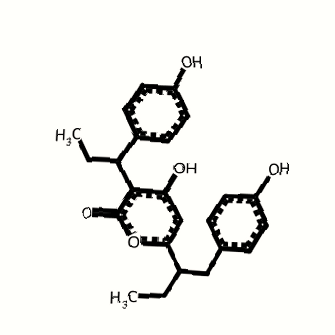 CCC(Cc1ccc(O)cc1)c1cc(O)c(C(CC)c2ccc(O)cc2)c(=O)o1